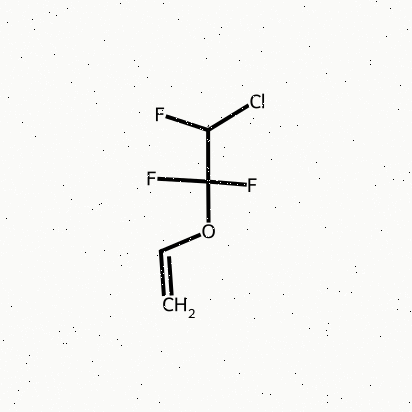 C=COC(F)(F)[C](F)Cl